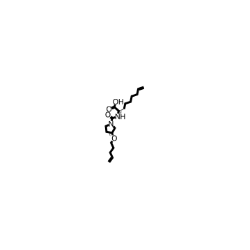 C=CCCCCC[C@H](NC(=O)N1CC[C@H](OCCCC=C)C1)C(=O)O